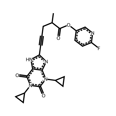 CC(CC#Cc1nc2c([nH]1)c(=O)n(C1CC1)c(=O)n2C1CC1)C(=O)Oc1ccc(F)nc1